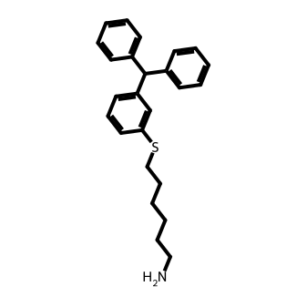 NCCCCCCSc1cccc(C(c2ccccc2)c2ccccc2)c1